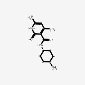 Cc1cc(C)c(C(=O)N[C@H]2CC[C@H](N)CC2)c(=O)[nH]1